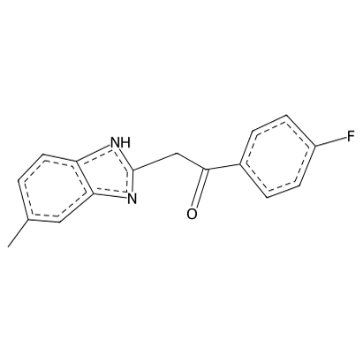 Cc1ccc2[nH]c(CC(=O)c3ccc(F)cc3)nc2c1